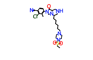 CCS(=O)(=O)N1CCN(CCCCCCC2CNCC3C(=O)N(c4ccc(C#N)c(Cl)c4C)CN23)CC1